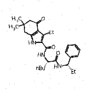 CCCC[C@H](NC(=O)c1[nH]c2c(c1CC)C(=O)CC(C)(C)C2)C(=O)N[C@@H](CC)c1ccccc1